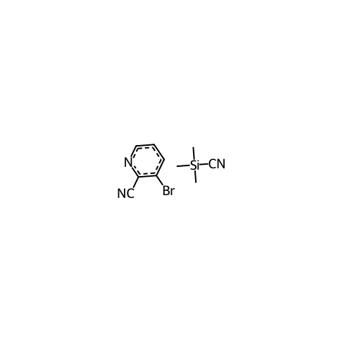 C[Si](C)(C)C#N.N#Cc1ncccc1Br